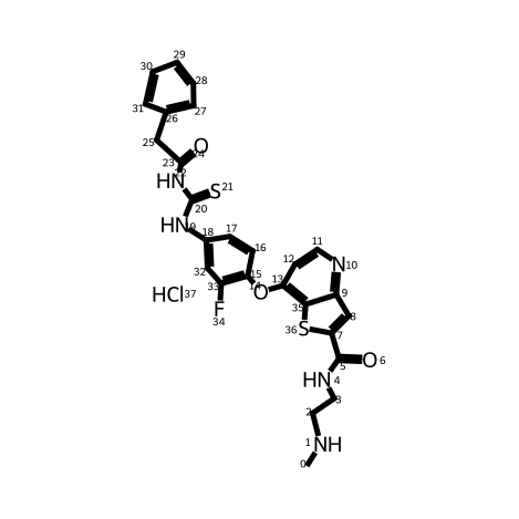 CNCCNC(=O)c1cc2nccc(Oc3ccc(NC(=S)NC(=O)Cc4ccccc4)cc3F)c2s1.Cl